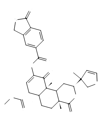 COC(=O)[C@@H]1C=C(OC(=O)c2ccc3c(c2)CNC3=O)C(=O)[C@H]2[C@@]1(C)CC[C@H]1C(=O)O[C@H](C3(C)C=COC3)C[C@]21C